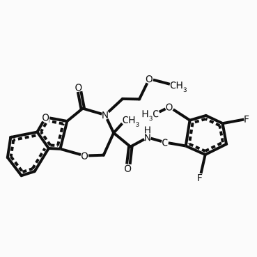 COCCN1C(=O)c2oc3ccccc3c2OCC1(C)C(=O)NCc1c(F)cc(F)cc1OC